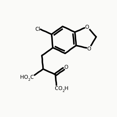 O=C(O)C(=O)C(Cc1cc2c(cc1Cl)OCO2)C(=O)O